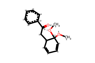 COC1(OC)C=CC=CC1CC(=O)c1ccccc1